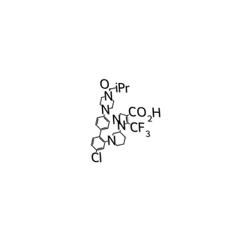 CC(C)C(=O)N1CCN(c2ccc(-c3ccc(Cl)cc3N3CCCC(n4ncc(C(=O)O)c4C(F)(F)F)C3)cc2)CC1